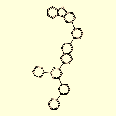 c1ccc(-c2cccc(-c3cc(-c4ccc5cc(-c6cccc(-c7ccc8sc9ccccc9c8c7)c6)ccc5c4)nc(-c4ccccc4)n3)c2)cc1